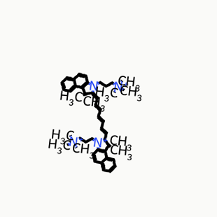 CC1(C)C(/C=C/C=C/C=C/C=C2/N(CCC[N+](C)(C)C)c3ccc4ccccc4c3C2(C)C)=[N+](CCC[N+](C)(C)C)c2ccc3ccccc3c21